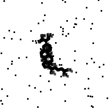 C=CC(C(=O)O)[C@H]1CC[C@@]2(C)C(=CC[C@H]3[C@@H]4CC[C@H]([C@H](C)CCCC(C)C)[C@@]4(C)CC[C@@H]32)C1